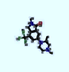 CC1CN(C)CCN1c1cc2c(c(C(F)(F)F)c1)CN(C)C2=O